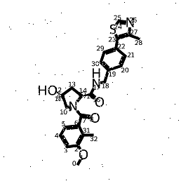 COc1cccc(C(=O)N2C[C@H](O)C[C@H]2C(=O)NCc2ccc(-c3scnc3C)cc2)c1C